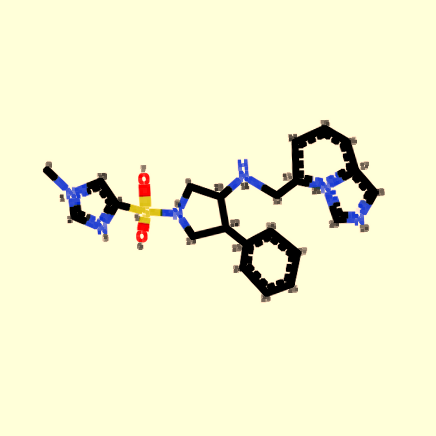 Cn1cnc(S(=O)(=O)N2CC(NCc3cccc4cncn34)C(c3ccccc3)C2)c1